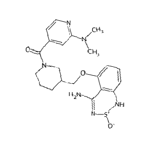 CN(C)c1cc(C(=O)N2CCCC(COc3cccc4c3C(N)=N[S+]([O-])N4)C2)ccn1